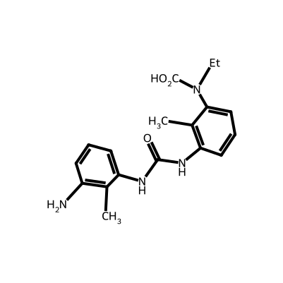 CCN(C(=O)O)c1cccc(NC(=O)Nc2cccc(N)c2C)c1C